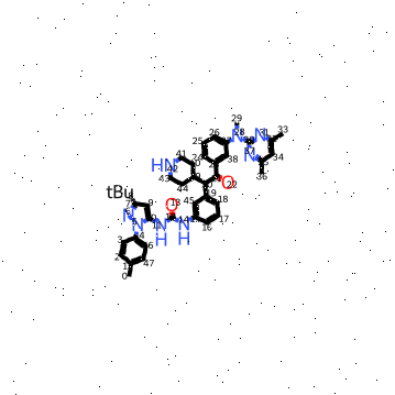 Cc1ccc(-n2nc(C(C)(C)C)cc2NC(=O)Nc2cccc(C(C(=O)c3cccc(N(C)c4nc(C)cc(C)n4)c3)C3CCNCC3)c2)cc1